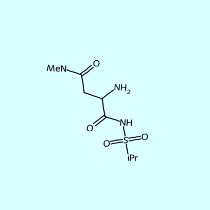 CNC(=O)CC(N)C(=O)NS(=O)(=O)C(C)C